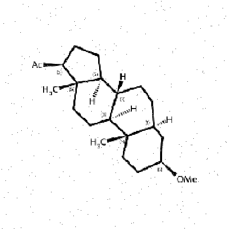 CO[C@H]1CC[C@@]2(C)[C@@H](CC[C@@H]3[C@@H]2CC[C@]2(C)[C@@H](C(C)=O)CC[C@@H]32)C1